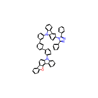 c1ccc(-c2nnc(-c3ccccc3)n2-c2ccc3c(c2)c2ccccc2n3-c2cccc(-c3cccc(-c4cccc(-n5c6ccccc6c6c7oc8ccccc8c7ccc65)c4)c3)c2)cc1